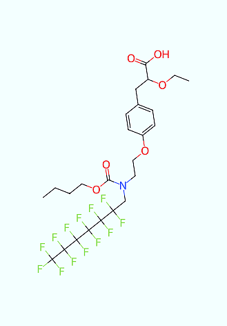 CCCCOC(=O)N(CCOc1ccc(CC(OCC)C(=O)O)cc1)CC(F)(F)C(F)(F)C(F)(F)C(F)(F)C(F)(F)C(F)(F)F